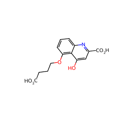 O=C(O)CCCOc1cccc2nc(C(=O)O)cc(O)c12